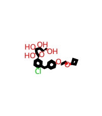 OC[C@H]1O[C@@H](c2ccc(Cl)c(Cc3ccc(OCCOC4CCC4)cc3)c2)[C@H](O)[C@@H](O)[C@@H]1O